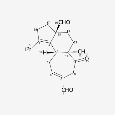 CC(C)C1=C2[C@H]3CC=C(C=O)CC(=O)[C@]3(C)CC[C@@]2(C=O)CC1